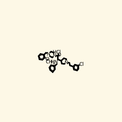 COc1ccccc1CN1CCN(C(=O)[C@H](NCc2ccccc2)C2CCN(CCc3cccc(Cl)c3)CC2)CC1.Cl